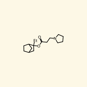 CCC1(OC(=O)CCN2CCCC2)CC2CCC1C2